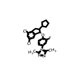 Cc1nnc(C)n1-c1ccc(O[C@H]2[C](C3CCCC3)Cc3c(Cl)cc(Cl)cc32)c(F)c1